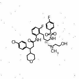 CN(CCO)C[C@H](CCc1c(F)cccc1NC(=O)CC(c1ccc(Cl)cc1)C1CCOCC1)NS(=O)(=O)c1ccc(F)cc1